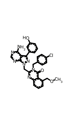 COCc1cccc2nc(Cn3nc(-c4cccc(O)c4)c4c(N)ncnc43)n(Cc3ccc(Cl)cc3)c(=O)c12